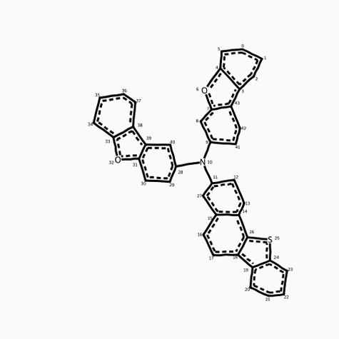 c1ccc2c(c1)oc1cc(N(c3ccc4c(ccc5c6ccccc6sc45)c3)c3ccc4oc5ccccc5c4c3)ccc12